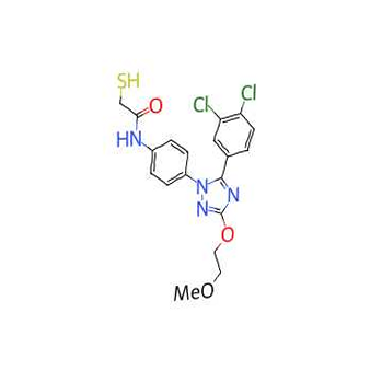 COCCOc1nc(-c2ccc(Cl)c(Cl)c2)n(-c2ccc(NC(=O)CS)cc2)n1